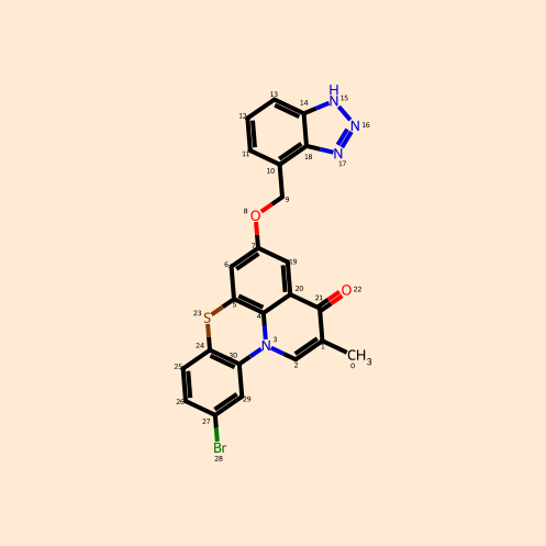 Cc1cn2c3c(cc(OCc4cccc5[nH]nnc45)cc3c1=O)Sc1ccc(Br)cc1-2